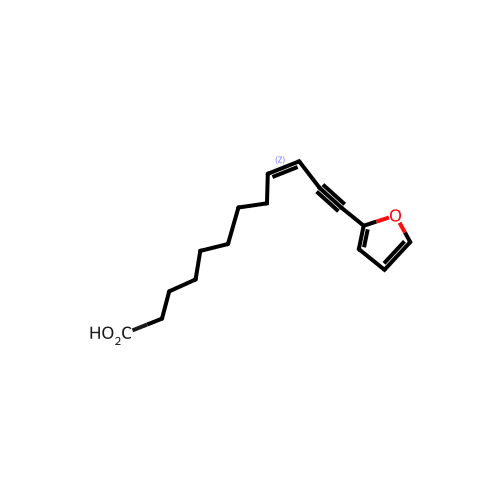 O=C(O)CCCCCCC/C=C\C#Cc1ccco1